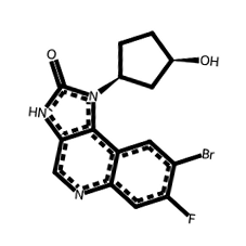 O=c1[nH]c2cnc3cc(F)c(Br)cc3c2n1[C@H]1CC[C@@H](O)C1